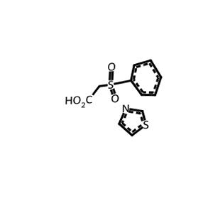 O=C(O)CS(=O)(=O)c1ccccc1.c1cscn1